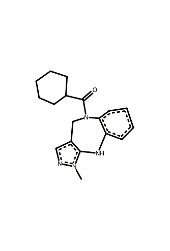 Cn1ncc2c1Nc1ccccc1N(C(=O)C1CCCCC1)C2